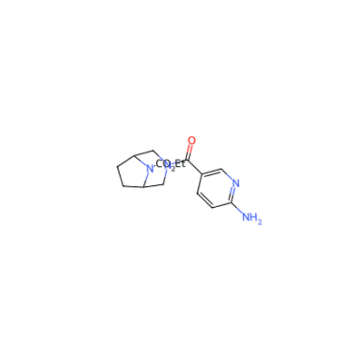 CCOC(=O)N1C2CCC1CN(C(=O)c1ccc(N)nc1)C2